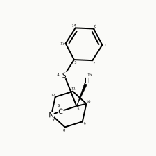 C1=CCC(S[C@H]2CN3CCC2CC3)C=C1